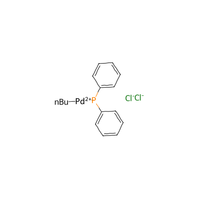 CCC[CH2][Pd+2][P](c1ccccc1)c1ccccc1.[Cl-].[Cl-]